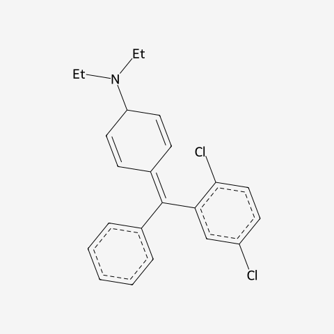 CCN(CC)C1C=CC(=C(c2ccccc2)c2cc(Cl)ccc2Cl)C=C1